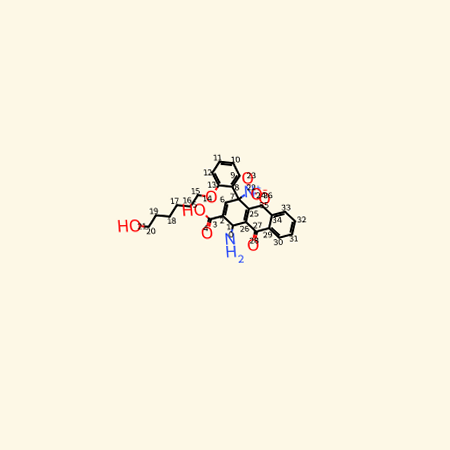 NC1C(C(=O)O)=CC(c2ccccc2OCCCCCCO)([N+](=O)[O-])C2=C1C(=O)c1ccccc1C2=O